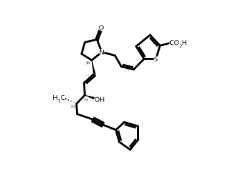 C[C@@H](CC#Cc1ccccc1)[C@H](O)/C=C/[C@H]1CCC(=O)N1C/C=C\c1ccc(C(=O)O)s1